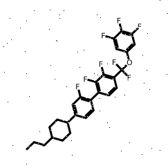 CCCC1CCC(c2ccc(-c3ccc(C(F)(F)Oc4cc(F)c(F)c(F)c4)c(F)c3F)c(F)c2)CC1